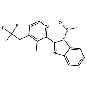 Cc1c(CC(F)(F)F)ccnc1-c1nc2ccccc2n1[S+](C)[O-]